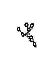 c1ccc(-c2cccc(-c3nc(-c4ccc5cc(-c6ccccc6)ccc5c4)nc(-c4cc(-c5ccccc5)c5c(c4)oc4ccccc45)n3)c2)cc1